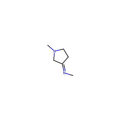 C/N=C1\CCN(C)C1